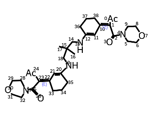 CC(=O)/C(C(=O)N1CCOCC1)=C1/C=C(NCC(C)(C)CNC2=C/C(=C(\C(C)=O)C(=O)N3CCOCC3)CCC2)CCC1